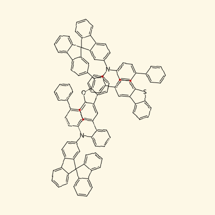 c1ccc(-c2ccc(N(c3ccc4c(c3)C3(c5ccccc5-c5ccccc53)c3ccccc3-4)c3ccccc3-c3ccc4oc5c(-c6ccc7c(c6)C6(c8ccccc8-7)c7ccccc7-c7ccc(N(c8ccc(-c9ccccc9)cc8)c8ccccc8-c8ccc9sc%10ccccc%10c9c8)cc76)cccc5c4c3)cc2)cc1